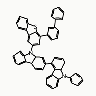 C1=CC(C2=CC3C(C=C2)c2ccccc2N3c2cc(-c3cccc(-c4ccccc4)c3)c3sc4ccccc4c3c2)=C2c3ccccc3N(c3ccccc3)C2C1